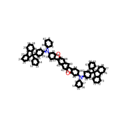 c1ccc(N(c2ccc(C3(c4ccccc4)c4ccccc4-c4ccccc43)cc2)c2ccc3c(c2)oc2cc4cc5c(cc4cc23)oc2cc(N(c3ccccc3)c3ccc(C4(c6ccccc6)c6ccccc6-c6ccccc64)cc3)ccc25)cc1